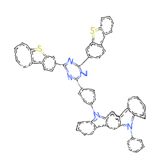 c1ccc(-n2c3ccccc3c3cc4c(cc32)c2ccccc2n4-c2ccc(-c3nc(-c4ccc5c(c4)sc4ccccc45)nc(-c4ccc5c(c4)sc4ccccc45)n3)cc2)cc1